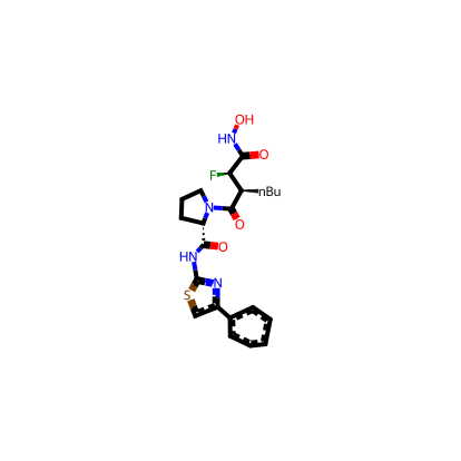 CCCC[C@@H](C(=O)N1CCC[C@H]1C(=O)Nc1nc(-c2ccccc2)cs1)[C@@H](F)C(=O)NO